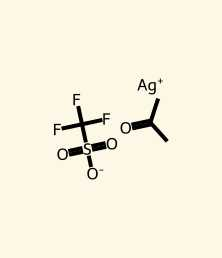 CC(C)=O.O=S(=O)([O-])C(F)(F)F.[Ag+]